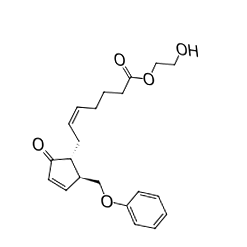 O=C(CCC/C=C\C[C@H]1C(=O)C=C[C@@H]1COc1ccccc1)OCCO